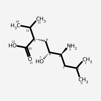 CC(C)C[C@H](N)[C@H](O)C[C@H](C(=O)O)C(C)C